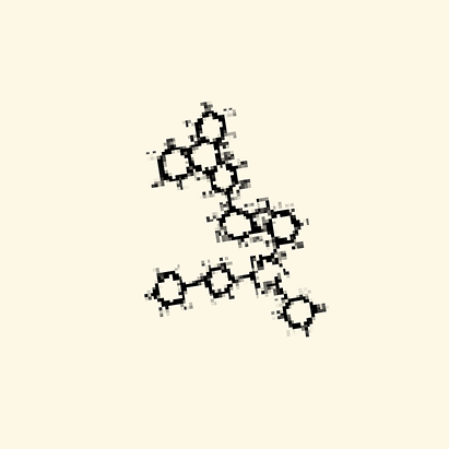 c1ccc(-c2ccc(-c3nc(-c4ccccc4)nc(-c4cccc5oc6c(-c7ccc8c9ccccc9c9ccccc9c8c7)cncc6c45)n3)cc2)cc1